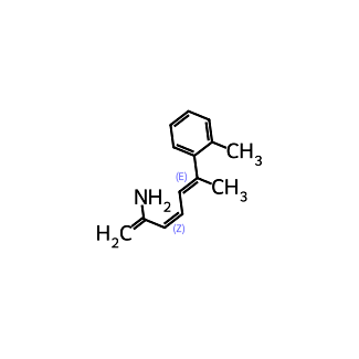 C=C(N)/C=C\C=C(/C)c1ccccc1C